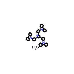 C=Cc1ccc2c(c1)c1ccccc1n2-c1cccc(-c2cc(-c3cccc(-n4c5ccccc5c5ccccc54)c3)nc(-c3cccc(-n4c5ccccc5c5ccccc54)c3)c2)c1